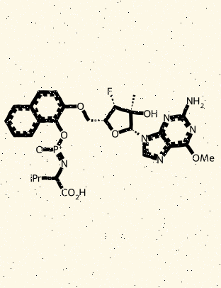 COc1nc(N)nc2c1ncn2[C@@H]1O[C@H](COc2ccc3ccccc3c2O/[P+]([O-])=N/C(C(=O)O)C(C)C)[C@H](F)[C@@]1(C)O